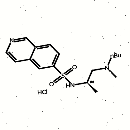 CCCCN(C)C[C@@H](C)NS(=O)(=O)c1ccc2cnccc2c1.Cl